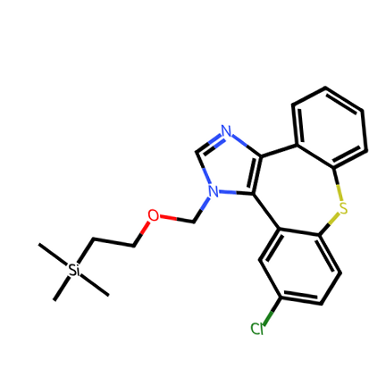 C[Si](C)(C)CCOCn1cnc2c1-c1cc(Cl)ccc1Sc1ccccc1-2